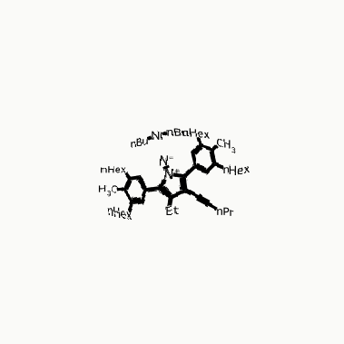 CCCC#CC1=C(c2cc(CCCCCC)c(C)c(CCCCCC)c2)[N+](=[N-])C(c2cc(CCCCCC)c(C)c(CCCCCC)c2)=C1CC.CCC[CH2][Ni][CH2]CCC